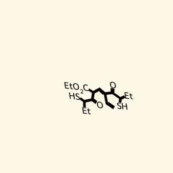 C=CC(=CC(C(=O)OCC)C(=O)C(S)CC)C(=O)C(S)CC